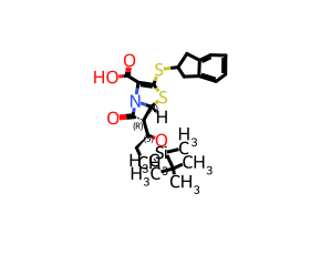 CC[C@H](O[Si](C)(C)C(C)(C)C)[C@@H]1C(=O)N2C(C(=O)O)=C(SC3Cc4ccccc4C3)S[C@H]12